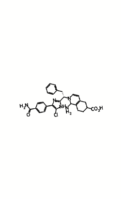 NC(=O)c1ccc(-c2nc([C@H](Cc3ccccc3)N3C=CC4=C(CCC(C(=O)O)C4)C3N)[nH]c2Cl)cc1